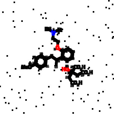 CCN(CC)CCOc1ccccc1C(C)Cc1ccc(OC)cc1.O=C(O)CC(O)(CC(=O)O)C(=O)O